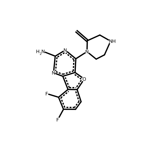 C=C1CNCCN1c1nc(N)nc2c1oc1ccc(F)c(F)c12